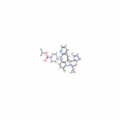 CC(C)OC(=O)N1CCN([C@H]2c3ccc(Cl)cc3C([C@@H](NC(=O)C3CC3)c3cncn3C)=Cc3cccnc32)CC1